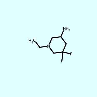 CCN1CC(N)CC(F)(F)C1